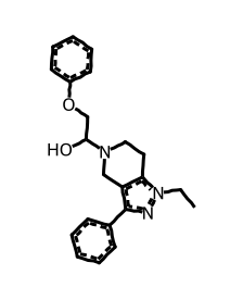 CCn1nc(-c2ccccc2)c2c1CCN(C(O)COc1ccccc1)C2